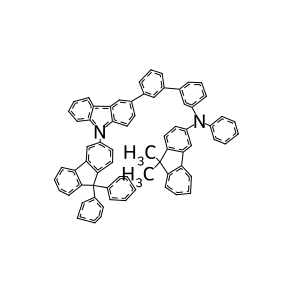 CC1(C)c2ccccc2-c2cc(N(c3ccccc3)c3cccc(-c4cccc(-c5ccc6c(c5)c5ccccc5n6-c5ccc6c(c5)-c5ccccc5C6(c5ccccc5)c5ccccc5)c4)c3)ccc21